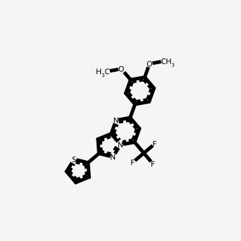 COc1ccc(-c2cc(C(F)(F)F)n3nc(-c4cccs4)cc3n2)cc1OC